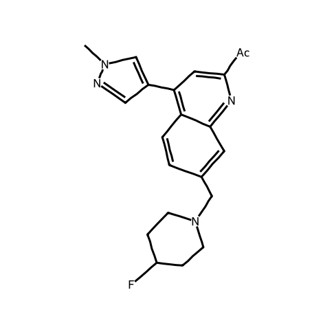 CC(=O)c1cc(-c2cnn(C)c2)c2ccc(CN3CCC(F)CC3)cc2n1